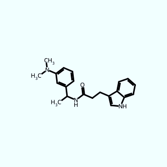 CC(NC(=O)CCc1c[nH]c2ccccc12)c1cccc(N(C)C)c1